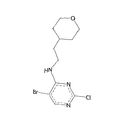 Clc1ncc(Br)c(NCCC2CCOCC2)n1